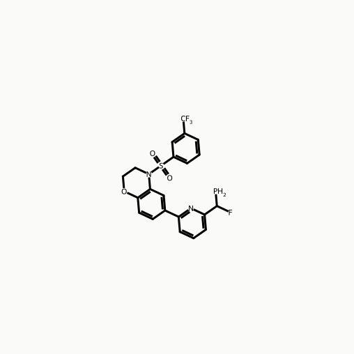 O=S(=O)(c1cccc(C(F)(F)F)c1)N1CCOc2ccc(-c3cccc(C(F)P)n3)cc21